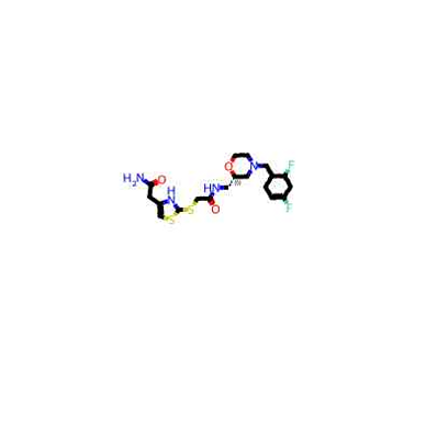 NC(=O)CC1=CSC(SCC(=O)NC[C@H]2CN(CC3CC=C(F)CC3F)CCO2)N1